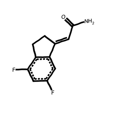 NC(=O)C=C1CCc2c(F)cc(F)cc21